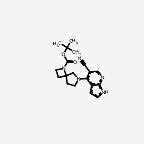 CC(C)(C)OC(=O)N1CCC12CCN(c1c(C#N)cnc3[nH]ccc13)C2